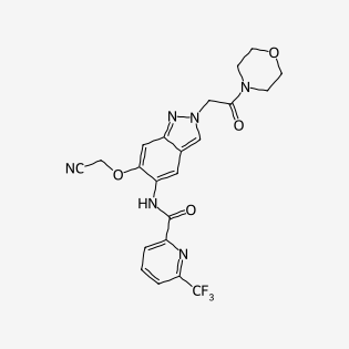 N#CCOc1cc2nn(CC(=O)N3CCOCC3)cc2cc1NC(=O)c1cccc(C(F)(F)F)n1